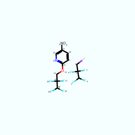 FC(F)C(F)(F)CI.O=[N+]([O-])c1ccc(OCC(F)(F)C(F)F)nc1